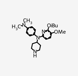 COc1ccc(N(c2ccc(N(C)C)cc2)C2CCNCC2)nc1OCC(C)C